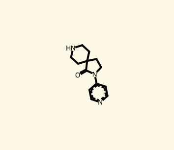 O=C1N(c2ccncc2)CCC12CCNCC2